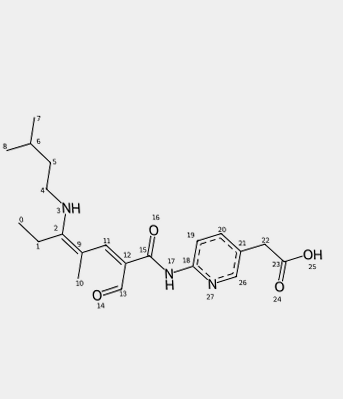 CC/C(NCCC(C)C)=C(C)/C=C(\C=O)C(=O)Nc1ccc(CC(=O)O)cn1